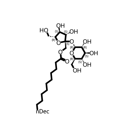 CCCCCCCCCCCCCCCCCCCC(=O)OC[C@@]1(O[C@H]2O[C@H](CO)[C@@H](O)[C@H](O)[C@H]2O)O[C@H](CO)[C@@H](O)[C@@H]1O